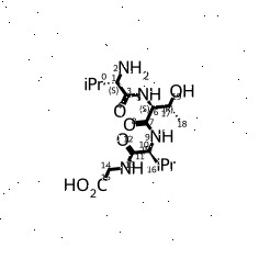 CC(C)[C@H](N)C(=O)N[C@H](C(=O)N[C@H](C(=O)NCC(=O)O)C(C)C)[C@@H](C)O